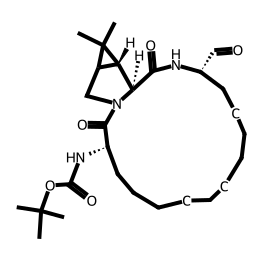 CC(C)(C)OC(=O)N[C@H]1CCCCCCCCCC[C@@H](C=O)NC(=O)[C@@H]2[C@@H]3C(CN2C1=O)C3(C)C